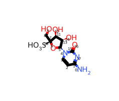 Nc1ccn([C@@H]2O[C@@](CO)(S(=O)(=O)O)[C@@H](O)[C@@H]2O)c(=O)n1